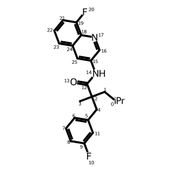 CC(C)CC(C)(Cc1cccc(F)c1)C(=O)Nc1cnc2c(F)cccc2c1